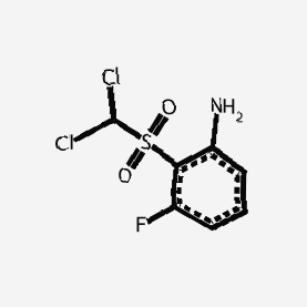 Nc1cccc(F)c1S(=O)(=O)C(Cl)Cl